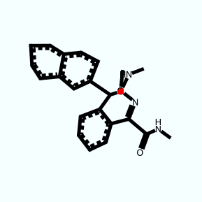 CNOC(c1ccc2ccccc2c1)c1ccccc1/C(=N\OC)C(=O)NC